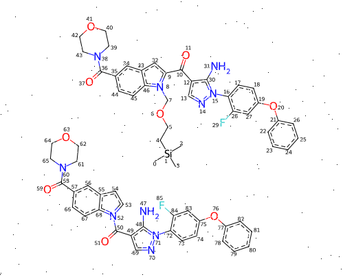 C[Si](C)(C)CCOCn1c(C(=O)c2cnn(-c3ccc(Oc4ccccc4)cc3F)c2N)cc2cc(C(=O)N3CCOCC3)ccc21.Nc1c(C(=O)n2ccc3cc(C(=O)N4CCOCC4)ccc32)cnn1-c1ccc(Oc2ccccc2)cc1F